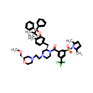 COC[C@@H]1CN(CCN2CCN(C(=O)c3cc(C(F)(F)F)cc(S(=O)(=O)n4c(C)ccc4C)c3)[C@H](Cc3ccc(C)c(O[Si](c4ccccc4)(c4ccccc4)C(C)(C)C)c3)C2)CCO1